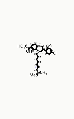 CCCc1cc(Cl)ccc1C1COc2ccc(C(O)C(=O)O)cc2N(CCCC/C=C/CN(C)SC)C1